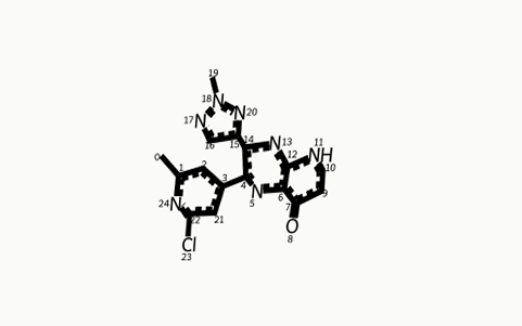 Cc1cc(-c2nc3c(=O)cc[nH]c3nc2-c2cnn(C)n2)cc(Cl)n1